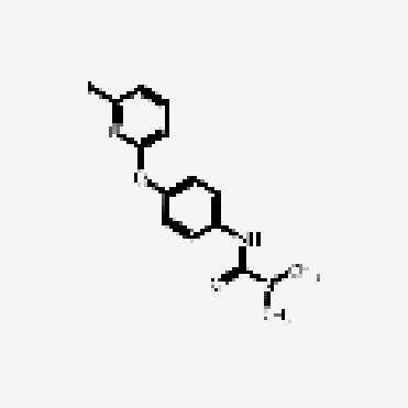 CN(C)C(=O)Nc1ccc(Oc2cccc(I)n2)cc1